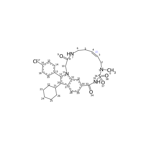 CN1C/C=C\CCNC(=O)Cn2c(-c3ccc(Cl)cc3)c(C3CCCCC3)c3ccc(cc32)C(=O)NS1(=O)=O